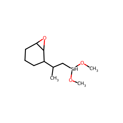 CO[SiH](CC(C)C1CCCC2OC21)OC